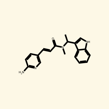 CC(c1c[nH]c2ccccc12)N(C)C(=O)C=Cc1ccc(N)nc1